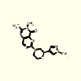 Cc1nc2cnc(N3CCOC(c4cnn(C)c4)C3)nc2c(=O)n1C